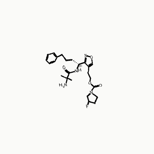 CC(C)(N)C(=O)N[C@H](CCCc1ccccc1)c1nocc1CCOC(=O)N1CCC(F)C1